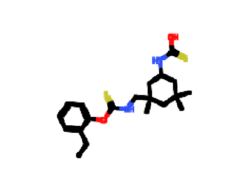 CCc1ccccc1OC(=S)NCC1(C)CC(NC(O)=S)CC(C)(C)C1